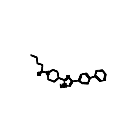 CCCCC(=O)N1CCC(c2nc(-c3ccc(-c4ccccc4)cc3)c[nH]2)CC1